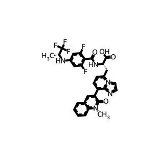 C[C@@H](Nc1cc(F)c(C(=O)N[C@@H](Cc2ccc(-c3cc4ccccc4n(C)c3=O)c3nccn23)C(=O)O)c(F)c1)C(F)(F)F